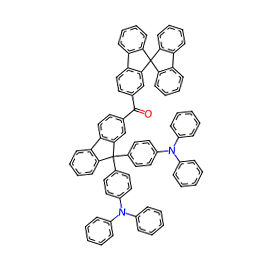 O=C(c1ccc2c(c1)C(c1ccc(N(c3ccccc3)c3ccccc3)cc1)(c1ccc(N(c3ccccc3)c3ccccc3)cc1)c1ccccc1-2)c1ccc2c(c1)C1(c3ccccc3-c3ccccc31)c1ccccc1-2